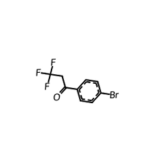 O=C(CC(F)(F)F)c1ccc(Br)cc1